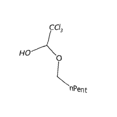 CCCCCCOC(O)C(Cl)(Cl)Cl